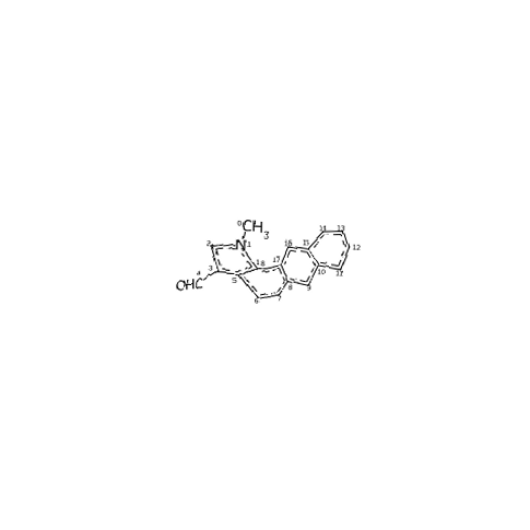 Cn1cc(C=O)c2ccc3cc4ccccc4cc3c21